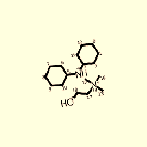 C1CCC(NC2CCCCC2)CC1.C[N+](C)(C)CCO